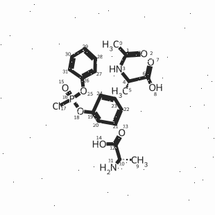 CC(=O)N[C@@H](C)C(=O)O.C[C@H](N)C(=O)O.O=P(Cl)(Oc1ccccc1)Oc1ccccc1